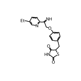 CCc1ccc(C(=N)COc2ccc(CC3SC(=O)NC3=O)cc2)nc1